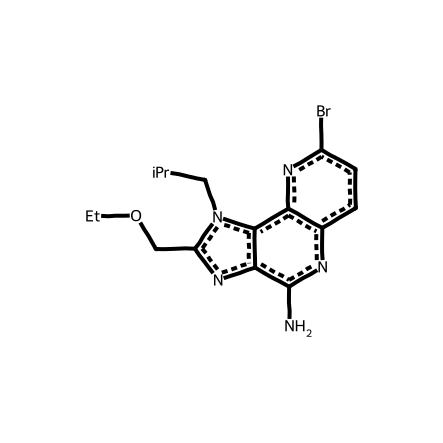 CCOCc1nc2c(N)nc3ccc(Br)nc3c2n1CC(C)C